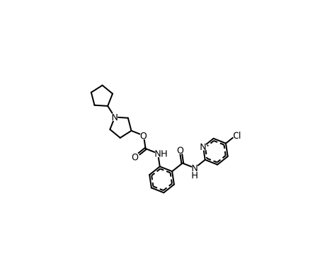 O=C(Nc1ccccc1C(=O)Nc1ccc(Cl)cn1)OC1CCN(C2CCCC2)C1